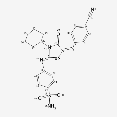 N#Cc1ccc(C=C2S/C(=N\c3ccc(S(N)(=O)=O)cc3)N(C3CCCCC3)C2=O)cc1